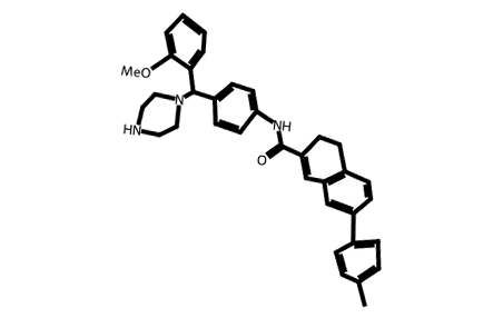 COc1ccccc1C(c1ccc(NC(=O)C2=Cc3cc(-c4ccc(C)cc4)ccc3CC2)cc1)N1CCNCC1